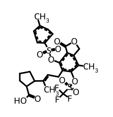 CC(=CCc1c(OS(=O)(=O)C(F)(F)F)c(C)c2c(c1OS(=O)(=O)c1ccc(C)cc1)C(=O)OC2)C1CCCC1C(=O)O